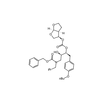 CCCCOc1ccc(C[C@H](OC(=O)O[C@H]2CO[C@H]3OCC[C@H]32)[C@H](O)CN(CC(C)C)C(=O)OCc2ccccc2)cc1